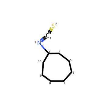 S=C=NC1CCCCCCC1